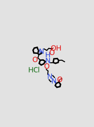 CCc1ccc(CNc2cc(C(=O)c3cn(CCCC(=O)O)c4ccccc34)ccc2OCCCN2CCN(c3ccccc3OC)CC2)cc1.Cl